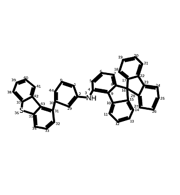 c1cc(Nc2cccc3c2-c2ccccc2C32c3ccccc3-c3ccccc32)cc(-c2cccc3sc4ccccc4c23)c1